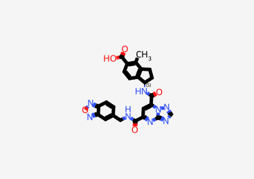 Cc1c(C(=O)O)ccc2c1CC[C@@H]2NC(=O)c1cc(C(=O)NCc2ccc3nonc3c2)nc2ncnn12